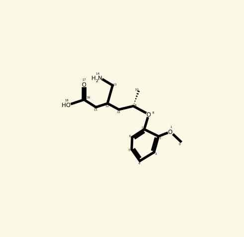 COc1ccccc1O[C@@H](C)CC(CN)CC(=O)O